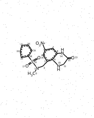 CN(Cc1cc([N+](=O)[O-])cc2c1NCC(=O)N2)S(=O)(=O)c1ccccc1